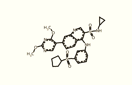 COc1ncc(-c2ccc3c(Nc4cccc(S(=O)(=O)C5CCCC5)c4)c(S(=O)(=O)NC4CC4)cnc3c2)c(OC)n1